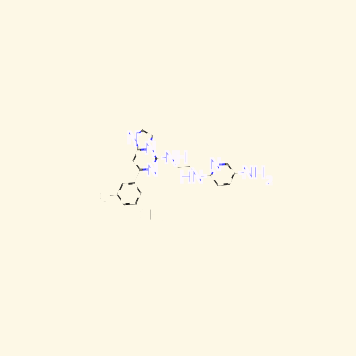 Nc1ccc(NCCNc2nc(-c3cc(C(F)(F)F)cc(C(F)(F)F)c3)cc3nccn23)nc1